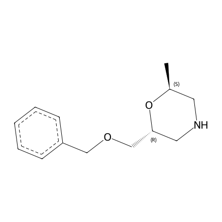 C[C@H]1CNC[C@H](COCc2ccccc2)O1